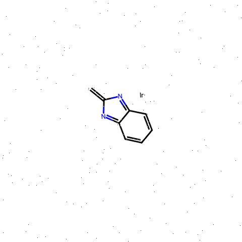 [C]=C1N=c2ccccc2=N1.[Ir]